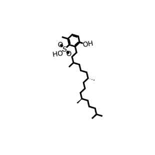 Cc1ccc(O)c(CCC(C)CCC[C@H](C)CCC[C@H](C)CCCC(C)C)c1S(=O)(=O)O